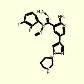 C=NN(/C(=N\N)c1cc(-c2cnn([C@H]3CCCNC3)c2)cnc1N)c1cccc(F)c1F